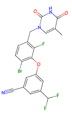 Cc1cn(Cc2ccc(Br)c(Oc3cc(C#N)cc(C(F)F)c3)c2F)c(=O)[nH]c1=O